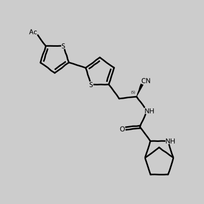 CC(=O)c1ccc(-c2ccc(C[C@@H](C#N)NC(=O)C3NC4CCC3C4)s2)s1